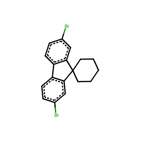 Brc1ccc2c(c1)C1(CCCCC1)c1cc(Br)ccc1-2